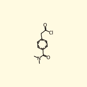 CN(C)C(=O)c1ccc(CC(=O)Cl)cc1